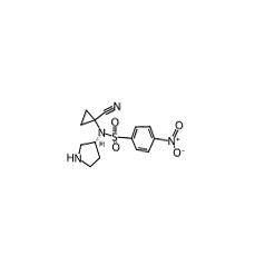 N#CC1(N([C@@H]2CCNC2)S(=O)(=O)c2ccc([N+](=O)[O-])cc2)CC1